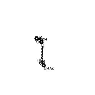 CC(=O)Nc1ccc(S(=O)(=O)NCCCCCCCCCCOc2cc(O)c3c(=O)c4ccccc4oc3c2)cc1